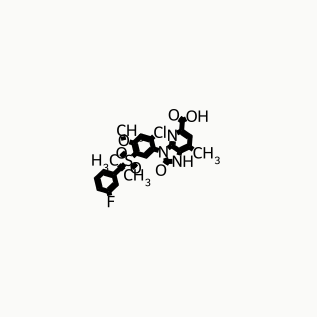 COc1cc(Cl)c(-n2c(=O)[nH]c3c(C)cc(C(=O)O)nc32)cc1S(=O)(=O)C(C)(C)c1cccc(F)c1